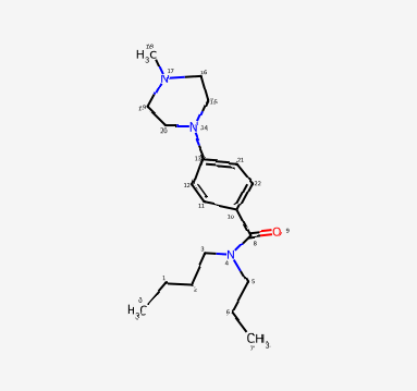 CCCCN(CCC)C(=O)c1ccc(N2CCN(C)CC2)cc1